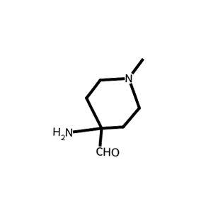 CN1CCC(N)(C=O)CC1